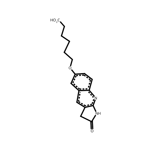 O=C(O)CCCCCOc1ccc2nc3c(cc2c1)CC(=O)N3